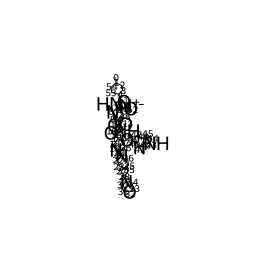 C[C@H]1CC[C@@H](CNc2ncc(S(=O)(=O)NC(=O)c3cnc(N4CCC5(CC4)CC(N4CCOCC4)C5)cc3Oc3cnc4[nH]ccc4c3)cc2[N+](=O)[O-])CC1